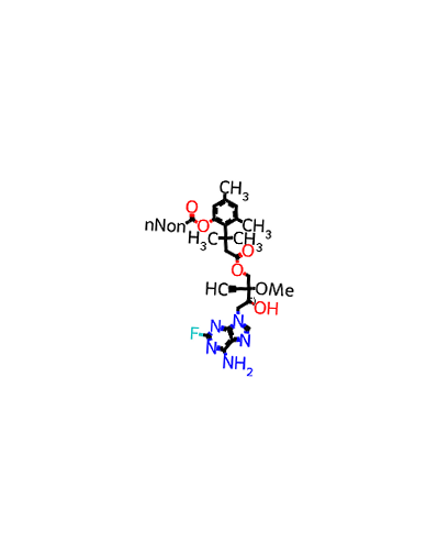 C#CC(COC(=O)CC(C)(C)c1c(C)cc(C)cc1OC(=O)CCCCCCCCC)(OC)[C@@H](O)Cn1cnc2c(N)nc(F)nc21